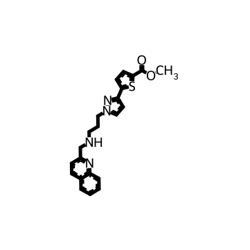 COC(=O)c1ccc(-c2ccn(CCCNCc3ccc4ccccc4n3)n2)s1